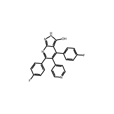 Oc1[nH]nc2nc(-c3ccc(F)cc3)c(-c3ccncc3)c(-c3ccc(F)cc3)c12